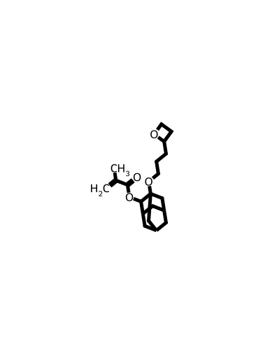 C=C(C)C(=O)OC1C2CC3CC(C2)CC1(OCCCC1CCO1)C3